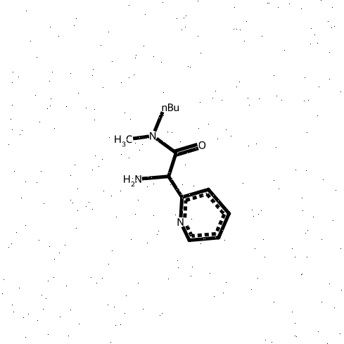 CCCCN(C)C(=O)C(N)c1ccccn1